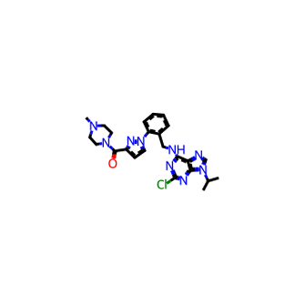 CC(C)n1cnc2c(NCc3ccccc3-n3ccc(C(=O)N4CCN(C)CC4)n3)nc(Cl)nc21